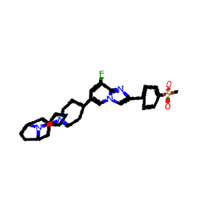 CS(=O)(=O)c1ccc(-c2cn3cc(C4CCN(C5CC6CCC(C5)N6C5CCC5)CC4)cc(F)c3n2)cc1